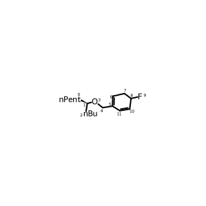 CCCCC[C@H](CCCC)OCC1=CCC(F)C=C1